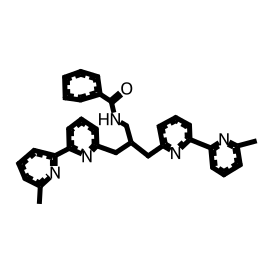 Cc1cccc(-c2cccc(CC(CNC(=O)c3ccccc3)Cc3cccc(-c4cccc(C)n4)n3)n2)n1